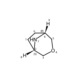 C1C[C@H]2COC[C@@H]1N2